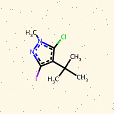 Cn1nc(I)c(C(C)(C)C)c1Cl